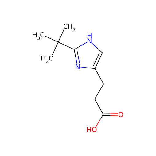 CC(C)(C)c1nc(CCC(=O)O)c[nH]1